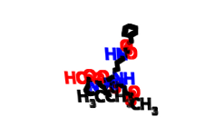 COC(=O)CCC(=O)N[C@@H](CCCCNC(=O)OCc1ccccc1)C(=O)N[C@H](C(=O)N1CCC[C@H]1C(=O)O)C(C)C